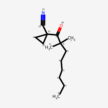 CCCCCCC(C)(C)C(=O)C1(C#N)CC1